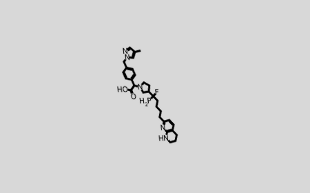 Cc1cnn(Cc2ccc(C(C(=O)O)N3CCC(C(F)(P)CCCCc4ccc5c(n4)NCCC5)C3)cc2)c1